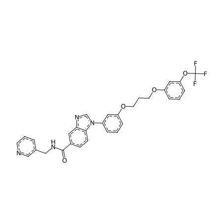 O=C(NCc1cccnc1)c1ccc2c(c1)ncn2-c1cccc(OCCCOc2cccc(OC(F)(F)F)c2)c1